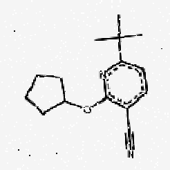 CC(C)(C)c1ccc(C#N)c(OC2CCCC2)n1